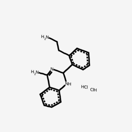 Cl.Cl.NCCc1ccccc1C1N=C(N)c2ccccc2N1